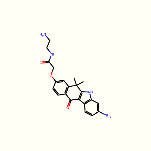 CC1(C)c2cc(OCC(=O)NCCN)ccc2C(=O)c2c1[nH]c1cc(N)ccc21